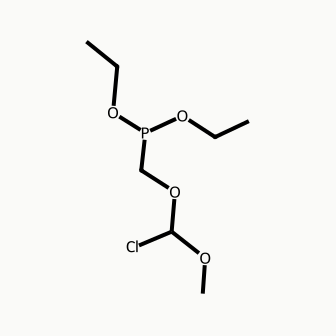 CCOP(COC(Cl)OC)OCC